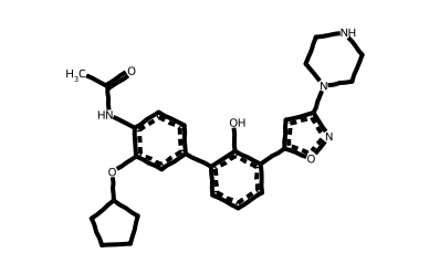 CC(=O)Nc1ccc(-c2cccc(-c3cc(N4CCNCC4)no3)c2O)cc1OC1CCCC1